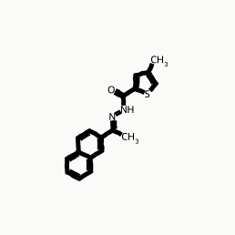 CC(=NNC(=O)c1cc(C)cs1)c1ccc2ccccc2c1